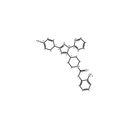 O=C(Cc1ccccc1C(F)(F)F)N1CCC(c2cc(C3C=CC(F)=CC3)nn2-c2ncccn2)CC1